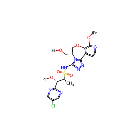 CCOC[C@@H]1COc2c(ccnc2OC(C)C)-c2nnc(NS(=O)(=O)[C@@H](C)[C@@H](OC(C)C)c3ncc(Cl)cn3)n21